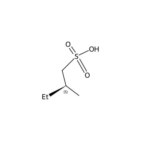 CC[C@H](C)CS(=O)(=O)O